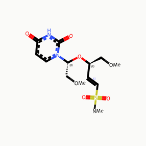 CNS(=O)(=O)/C=C/[C@H](COC)O[C@H](COC)n1ccc(=O)[nH]c1=O